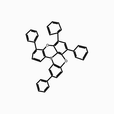 c1ccc(-c2ccc3c(c2)B2c4cccc(-c5ccccc5)c4Oc4c(-c5ccccc5)cc(-c5ccccc5)c(c42)O3)cc1